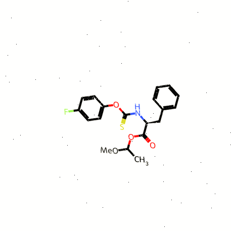 COC(C)OC(=O)[C@H](Cc1ccccc1)NC(=S)Oc1ccc(F)cc1